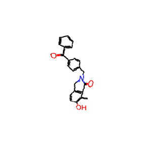 Cc1c(O)ccc2c1C(=O)N(Cc1ccc(C(=O)c3ccccc3)cc1)C2